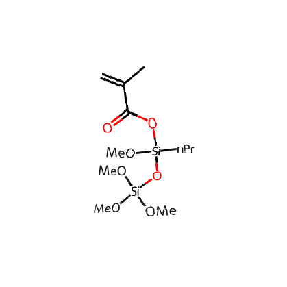 C=C(C)C(=O)O[Si](CCC)(OC)O[Si](OC)(OC)OC